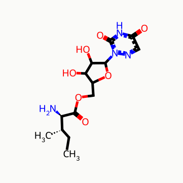 CC[C@H](C)[C@@H](N)C(=O)OCC1OC(n2ncc(=O)[nH]c2=O)C(O)C1O